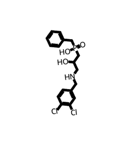 O=P(O)(Cc1ccccc1)CC(O)CNCc1ccc(Cl)c(Cl)c1